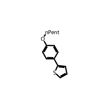 CCCCCOc1ccc(-c2cccs2)cc1